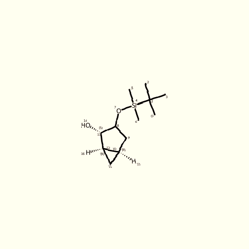 CC(C)(C)[Si](C)(C)OC1C[C@H]2C[C@H]2[C@@H]1O